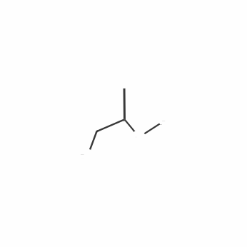 CCCC(C)OF